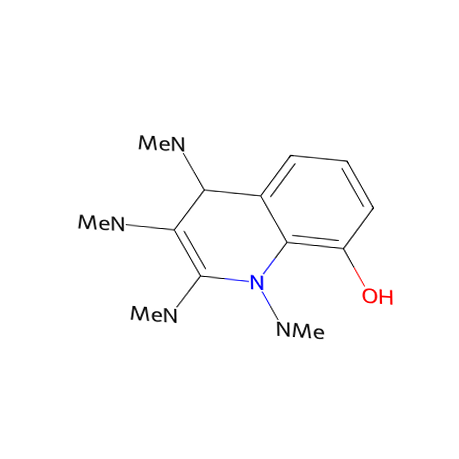 CNC1=C(NC)N(NC)c2c(O)cccc2C1NC